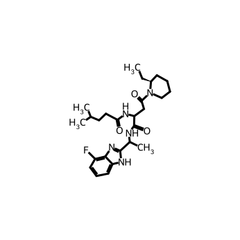 CC[C@H]1CCCCN1C(=O)CC(NC(=O)CCC(C)C)C(=O)NC(C)c1nc2c(F)cccc2[nH]1